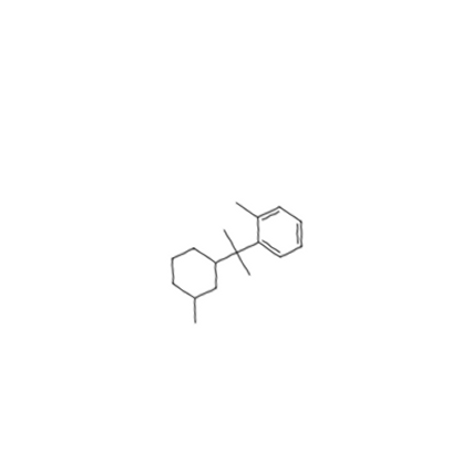 Cc1ccccc1C(C)(C)C1CCCC(C)C1